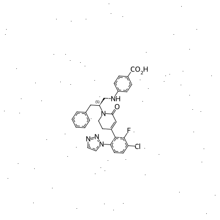 O=C(O)c1ccc(NC[C@H](Cc2ccccc2)N2CCC(c3c(-n4ccnn4)ccc(Cl)c3F)=CC2=O)cc1